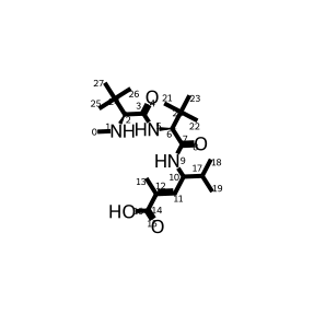 CN[C@H](C(=O)N[C@H](C(=O)NC(/C=C(\C)C(=O)O)C(C)C)C(C)(C)C)C(C)(C)C